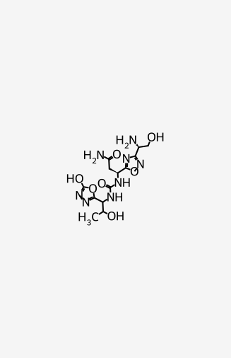 CC(O)C(NC(=O)N[C@@H](CC(N)=O)c1nc([C@@H](N)CO)no1)c1nnc(O)o1